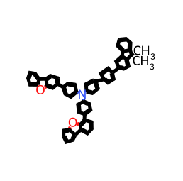 CC1(C)c2ccccc2-c2cc(-c3ccc(-c4ccc(N(c5ccc(-c6ccc7c(c6)oc6ccccc67)cc5)c5ccc(-c6cccc7c6oc6ccccc67)cc5)cc4)cc3)ccc21